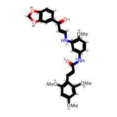 COc1cc(OC)c(C=CC(=O)Nc2ccc(OC)c(NC=CC(=O)c3ccc4c(c3)OCO4)c2)c(OC)c1